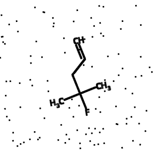 [CH]=CCC(C)(C)F